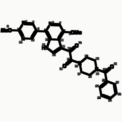 COc1ncc(-c2ncc(OC)c3c(C(=O)C(=O)N4CCN(C(=O)c5ccccc5)CC4)c[nH]c23)cn1